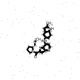 COC[C@H]1CCCN1C(=O)c1cc2nccc(Nc3ccc4[nH]c(C)cc4c3)c2s1